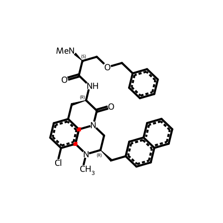 CN[C@@H](COCc1ccccc1)C(=O)N[C@H](Cc1ccc(Cl)cc1)C(=O)N1CCN(C)[C@H](Cc2ccc3ccccc3c2)C1